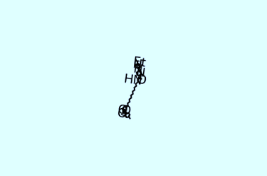 CCN1CCN(c2ccc(C(=O)NCCCCCCCCCCCCCCOS(=O)(=O)c3ccc(C)cc3)cn2)CC1